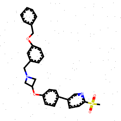 CS(=O)(=O)c1ccc(-c2ccc(OC3CN(Cc4cccc(OCc5ccccc5)c4)C3)cc2)cn1